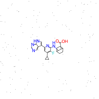 O=C(O)C1C2CCC(CC2)C1Nc1nc(-c2c[nH]c3ncncc23)cc(C2CC2)c1F